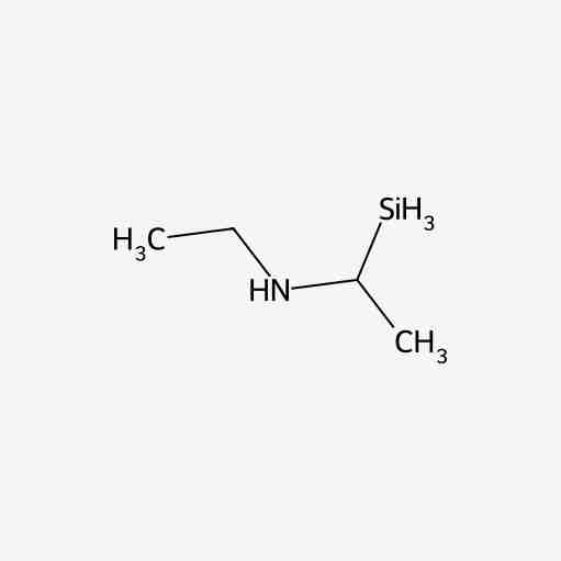 CCNC(C)[SiH3]